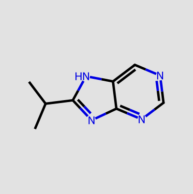 CC(C)c1nc2ncncc2[nH]1